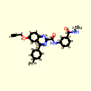 C#CCOc1ccc2nc(C(=O)Nc3cccc(C(=O)NC(C)(C)C)c3)nc(-c3ccc(C(C)C)cc3)c2c1